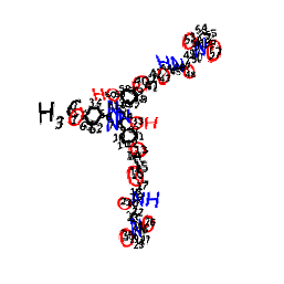 COc1ccc(-c2nc(-c3ccc(OCCOCCNC(=O)CCN4C(=O)C=CC4=O)cc3O)nc(-c3ccc(OCCOCCNC(=O)CCN4C(=O)C=CC4=O)cc3O)n2)cc1